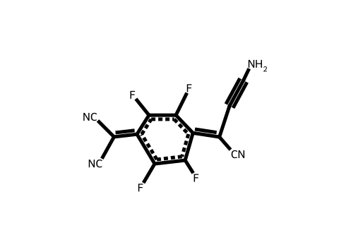 N#CC(C#N)=c1c(F)c(F)c(=C(C#N)C#CN)c(F)c1F